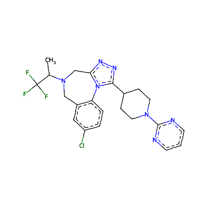 CC(N1Cc2cc(Cl)ccc2-n2c(nnc2C2CCN(c3ncccn3)CC2)C1)C(F)(F)F